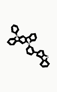 c1ccc(-n2c3ccccc3c3cc4c(cc32)c2ccccc2n4-c2cccc(-c3ccc4sc5ccccc5c4c3)c2)cc1